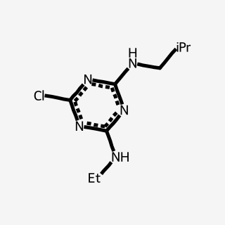 CCNc1nc(Cl)nc(NCC(C)C)n1